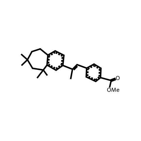 COC(=O)c1ccc(C=C(C)c2ccc3c(c2)C(C)(C)CC(C)(C)CC3)cc1